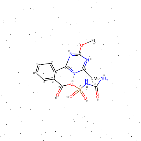 CCOc1nc(NC)nc(-c2ccccc2C(=O)OS(=O)(=O)NC(N)=O)n1